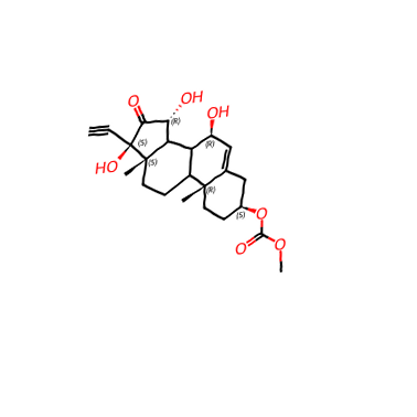 C#C[C@]1(O)C(=O)[C@H](O)C2C3C(CC[C@@]21C)[C@@]1(C)CC[C@H](OC(=O)OC)CC1=C[C@@H]3O